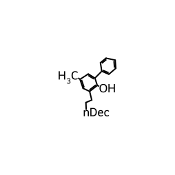 CCCCCCCCCCCCc1cc(C)cc(-c2ccccc2)c1O